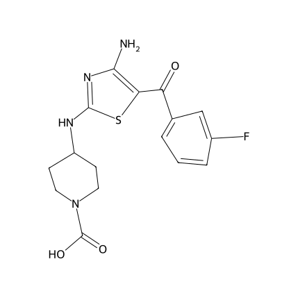 Nc1nc(NC2CCN(C(=O)O)CC2)sc1C(=O)c1cccc(F)c1